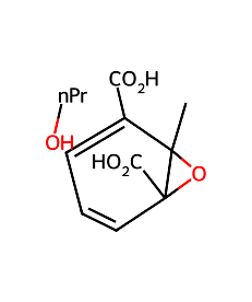 CC12OC1(C(=O)O)C=CC=C2C(=O)O.CCCO